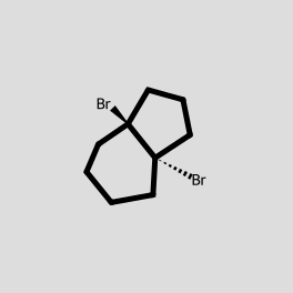 Br[C@]12CCCC[C@]1(Br)CCC2